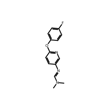 CN(C)C=Nc1ccc(Oc2ccc(F)cc2)nc1